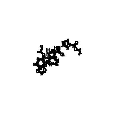 CCOC(=O)N1CC[C@@H](NC(=O)c2c[nH]c3c(-c4c(OCC)ccc5c4OCO5)ncnc23)C1